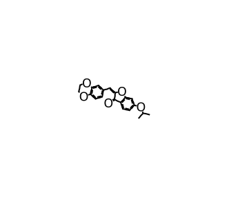 CC(C)Oc1ccc2c(c1)OC(=Cc1ccc3c(c1)OCCO3)C2=O